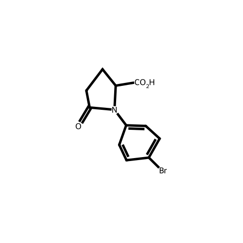 O=C(O)C1CCC(=O)N1c1ccc(Br)cc1